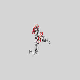 C=C1CC(=O)OC1=O.CCCCCCCCCCC=CC1CC(=O)OC1=O